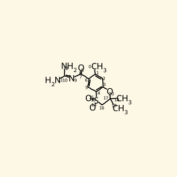 Cc1cc2c(cc1C(=O)N=C(N)N)S(=O)(=O)CC(C)(C)O2